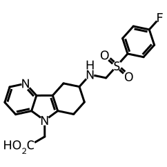 O=C(O)Cn1c2c(c3ncccc31)CC(NCS(=O)(=O)c1ccc(F)cc1)CC2